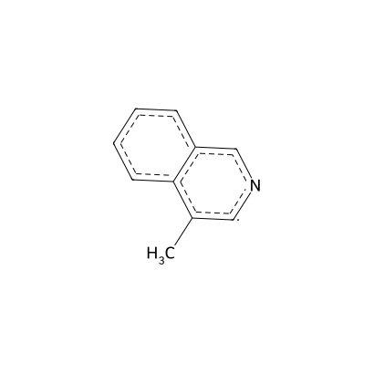 Cc1[c]ncc2ccccc12